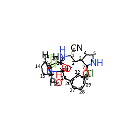 N#C[C@H](C[C@H]1CCNC1=O)NC(=O)[C@@H]1[C@H]2CC[C@H](CC2(F)F)N1C(=O)[C@@H](O)c1cccc(Cl)c1